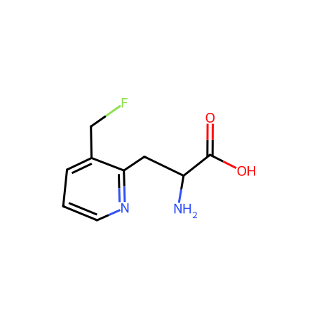 NC(Cc1ncccc1CF)C(=O)O